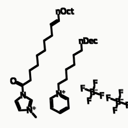 CCCCCCCCC=CCCCCCCCC(=O)n1cc[n+](C)c1.CCCCCCCCCCCCCCCC[n+]1ccccc1.F[B-](F)(F)F.F[B-](F)(F)F